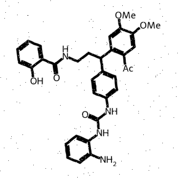 COc1cc(C(C)=O)c(C(CCNC(=O)c2ccccc2O)c2ccc(NC(=O)Nc3ccccc3N)cc2)cc1OC